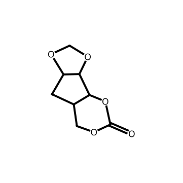 O=C1OCC2CC3OCOC3C2O1